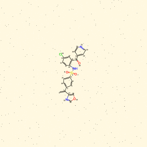 C=C(c1ccc(S(=O)(=O)Nc2ccc(Cl)cc2C(=O)c2ccncc2)cc1)c1cocn1